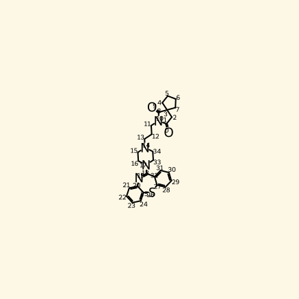 O=C1CC2(CCCC2)C(=O)N1CCCN1CCN(C2=Nc3ccccc3Sc3ccccc32)CC1